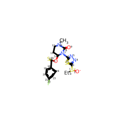 CC[S+]([O-])c1nnc(N2C(=O)N(C)CCC2OC(=S)c2ccc(F)cc2)s1